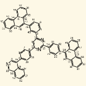 c1cc(-c2cc(-c3ccc(-c4cncc5ccccc45)cc3)nc(-c3ccc(-c4cc5ccccc5c5ccccc45)cc3)n2)cc(-c2cc3ccccc3c3ccccc23)c1